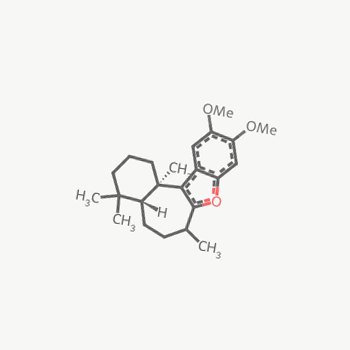 COc1cc2oc3c(c2cc1OC)[C@]1(C)CCCC(C)(C)[C@H]1CCC3C